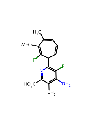 COC1=C(F)C(c2nc(C(=O)O)c(C)c(N)c2F)C=CC=C1C